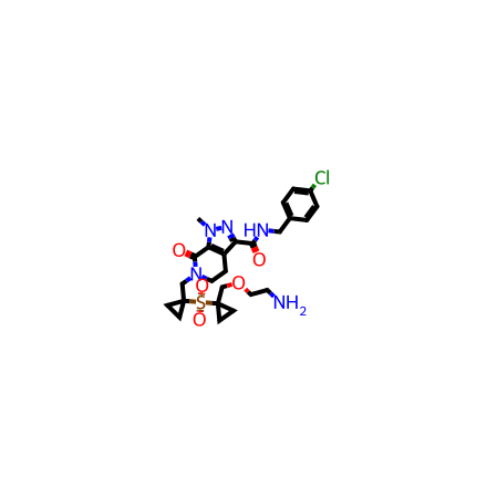 Cn1nc(C(=O)NCc2ccc(Cl)cc2)c2c1C(=O)N(CC1(S(=O)(=O)C3(COCCN)CC3)CC1)CC2